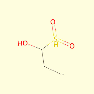 [CH2]CC(O)[SH](=O)=O